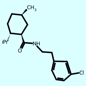 CC(C)[C@@H]1CC[C@@H](C)C[C@H]1C(=O)NCCc1cccc(Cl)c1